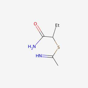 CCC(SC(C)=N)C(N)=O